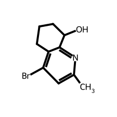 Cc1cc(Br)c2c(n1)C(O)CCC2